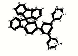 C1=NC=C(c2cc(-c3cncnc3)cc(-c3ccc4c(c3)C3(c5ccccc5-c5ccccc53)c3ccccc3-4)c2)CN1